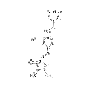 Cc1s[c+](N=Nc2ccc(NCc3ccccc3)cc2)n(C)c1C.[Br-]